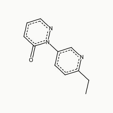 CCc1ccc(-n2ncccc2=O)cn1